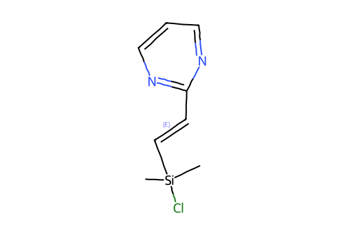 C[Si](C)(Cl)/C=C/c1ncccn1